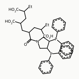 CCC(CC(CC(CC(CC)C(=O)O)C(=O)N1CC(P(c2ccccc2)c2ccccc2)C(P(c2ccccc2)c2ccccc2)C1)C(=O)O)C(=O)O